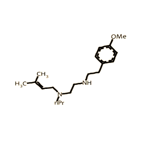 CCCN(CC=C(C)C)CCNCCc1ccc(OC)cc1